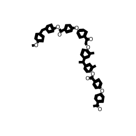 COc1ccc(Cc2ccc(OC(=O)c3ccc(Oc4ccc(C(=O)COc5ccc(C(C)c6ccc(OC(=O)c7ccc(Oc8ccc(C(C)=O)cc8)cc7)c(C)c6)cc5C)cc4)cc3)cc2)cc1